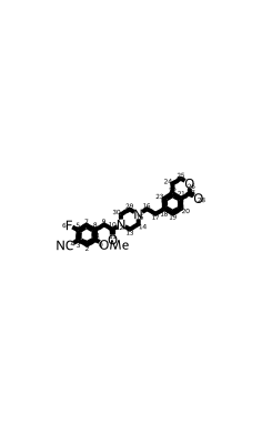 COc1cc(C#N)c(F)cc1CC(=O)N1CCN(CCc2ccc3c(c2)CCOC3=O)CC1